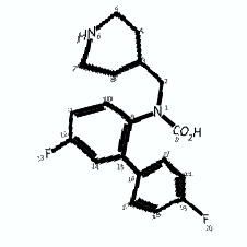 O=C(O)N(CC1CCNCC1)c1ccc(F)cc1-c1ccc(F)cc1